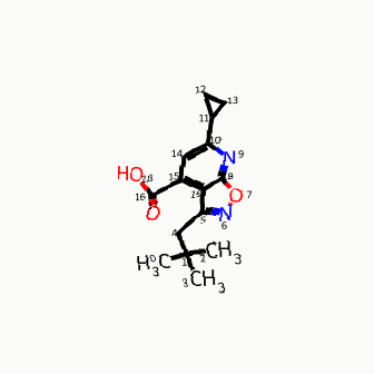 CC(C)(C)Cc1noc2nc(C3CC3)cc(C(=O)O)c12